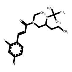 CCCC(CN(CC)C(=O)/C=C/c1ccc(Cl)cc1F)OC(C)(C)C